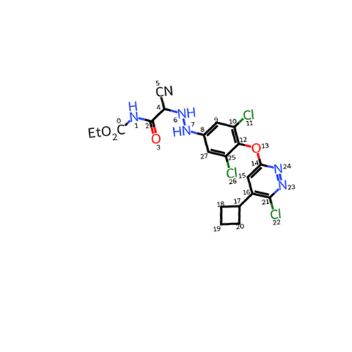 CCOC(=O)NC(=O)C(C#N)NNc1cc(Cl)c(Oc2cc(C3CCC3)c(Cl)nn2)c(Cl)c1